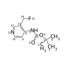 CC(C)(C)OC(=O)Nc1ccncc1CF